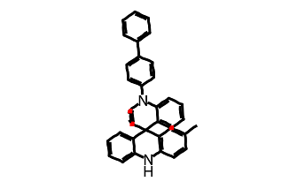 Cc1ccc2c(c1)C1(c3ccccc3N2)c2ccccc2N(c2ccc(-c3ccccc3)cc2)c2ccccc21